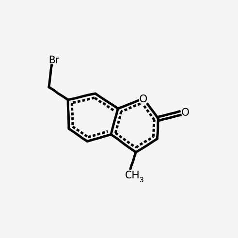 Cc1cc(=O)oc2cc(CBr)ccc12